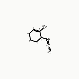 S=C=NC1CCCC=C1Br